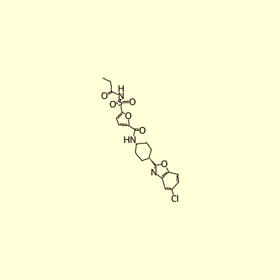 CCC(=O)NS(=O)(=O)c1ccc(C(=O)N[C@H]2CC[C@H](c3nc4cc(Cl)ccc4o3)CC2)o1